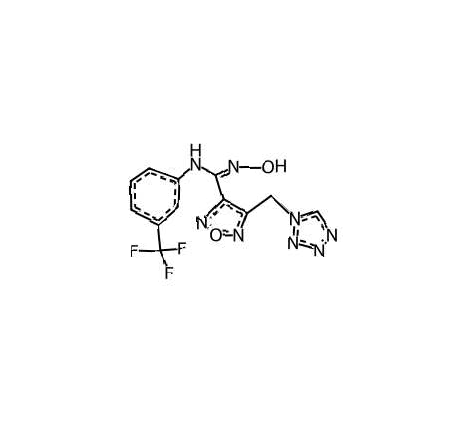 O/N=C(/Nc1cccc(C(F)(F)F)c1)c1nonc1Cn1cnnn1